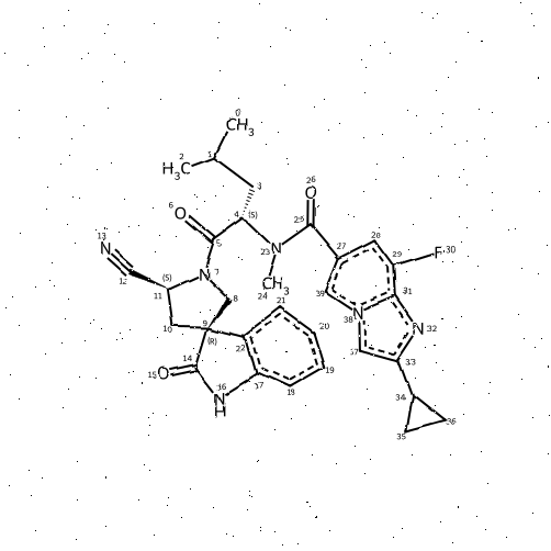 CC(C)C[C@@H](C(=O)N1C[C@]2(C[C@H]1C#N)C(=O)Nc1ccccc12)N(C)C(=O)c1cc(F)c2nc(C3CC3)cn2c1